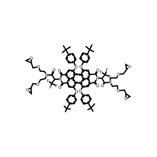 CC(C)(C)c1ccc(Oc2cc3c4c(cc(Oc5ccc(C(C)(C)C)cc5)c5c6c(Oc7ccc(C(C)(C)C)cc7)cc7c8c(cc(Oc9ccc(C(C)(C)C)cc9)c(c2c45)c86)C(=O)N(C(C(=O)N(CCOCC2CO2)CCOCC2CO2)C(F)(F)F)C7=O)C(=O)N(C(C(=O)N(CCOCC2CO2)CCOCC2CO2)C(F)(F)F)C3=O)cc1